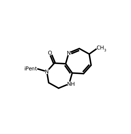 CCCC(C)N1CCNC2=C(N=CC(C)C=C2)C1=O